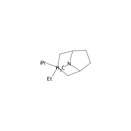 CCC1(C(C)C)CC2CCC(C1)N2C